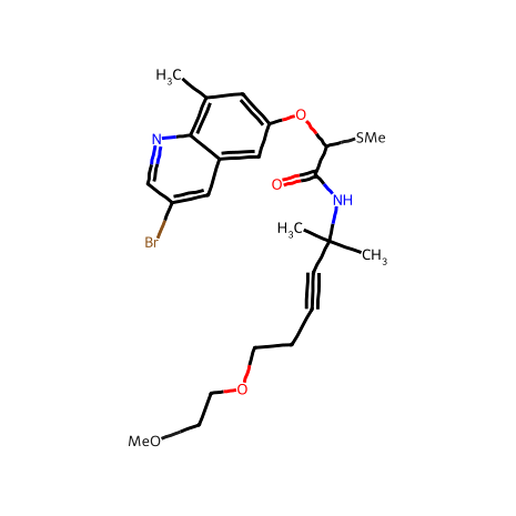 COCCOCCC#CC(C)(C)NC(=O)C(Oc1cc(C)c2ncc(Br)cc2c1)SC